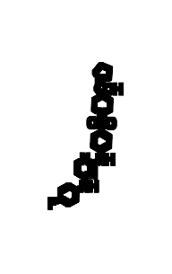 O=S(=O)(c1ccc(Nc2nccc(Nc3ccc(F)cc3)n2)cc1)N1CCC(O)(CN2CCCC2)CC1